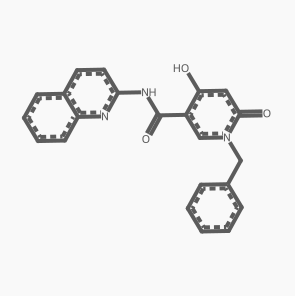 O=C(Nc1ccc2ccccc2n1)c1cn(Cc2ccccc2)c(=O)cc1O